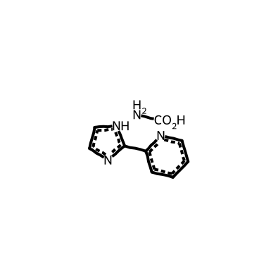 NC(=O)O.c1ccc(-c2ncc[nH]2)nc1